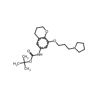 CC(C)(C)OC(=O)Nc1cc2c(c(OCCCN3CCCC3)c1)OCCC2